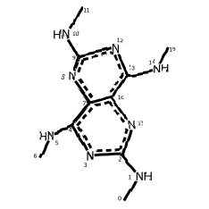 CNc1nc(NC)c2nc(NC)nc(NC)c2n1